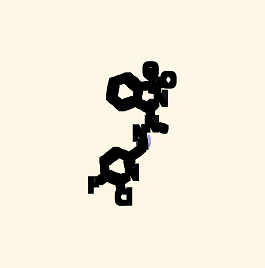 CN(/N=C/c1ccc(F)c(Cl)n1)C1=NS(=O)(=O)c2ccccc21